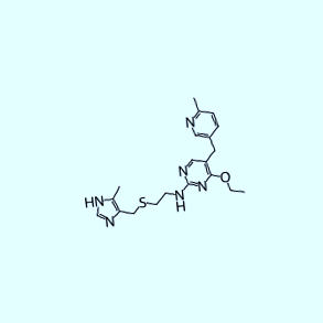 CCOc1nc(NCCSCc2nc[nH]c2C)ncc1Cc1ccc(C)nc1